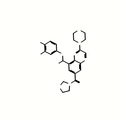 Cc1ccc(NC(C)c2cc(C(=O)N3CCOC3)cc3ncc(N4CCOCC4)nc23)cc1F